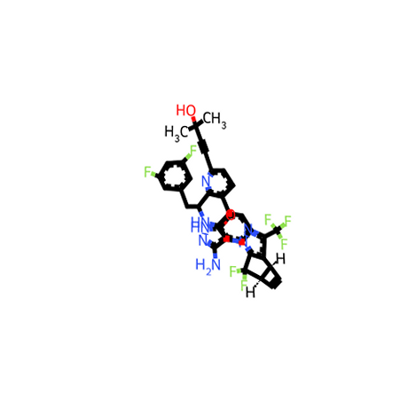 CC(C)(O)C#Cc1ccc(-c2cccc3c(N)n[nH]c23)c(C(Cc2cc(F)cc(F)c2)NC(=O)Cn2nc(C(F)(F)F)c3c2C(F)(F)[C@@H]2C#C[C@H]32)n1